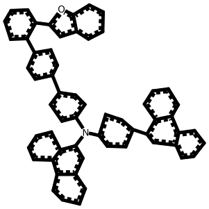 c1ccc(-c2cc3ccccc3o2)c(-c2ccc(-c3ccc(N(c4ccc(-c5cc6ccccc6c6ccccc56)cc4)c4cc5ccccc5c5ccccc45)cc3)cc2)c1